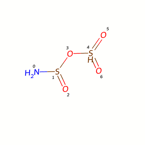 NS(=O)O[SH](=O)=O